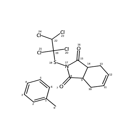 Cc1ccccc1.O=C1C2CC=CCC2C(=O)N1SC(Cl)(Cl)C(Cl)Cl